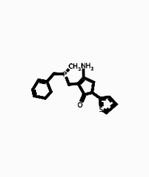 CP(CC1=CC=CCC1)CC1=C(N)CC(c2cccs2)C1=O